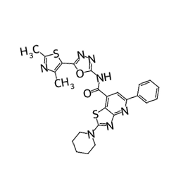 Cc1nc(C)c(-c2nnc(NC(=O)c3cc(-c4ccccc4)nc4nc(N5CCCCC5)sc34)o2)s1